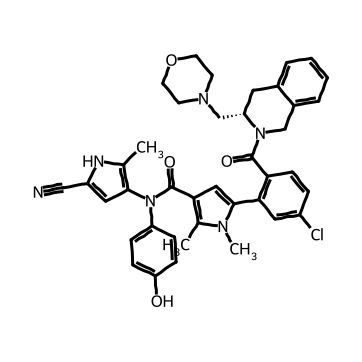 Cc1[nH]c(C#N)cc1N(C(=O)c1cc(-c2cc(Cl)ccc2C(=O)N2Cc3ccccc3C[C@H]2CN2CCOCC2)n(C)c1C)c1ccc(O)cc1